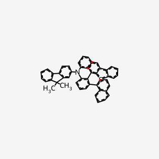 CC1(C)c2ccccc2-c2ccc(N(c3ccccc3)c3cccc(-c4cccc5ccccc45)c3-c3cccc4c3sc3ccccc34)cc21